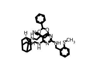 CSc1ccccc1CNc1ncc(C#N)c(NC[C@]23CC4CC(C2)[C@@H](NCC2CCOC(c5ccccc5)O2)[C@@H](C4)C3)n1